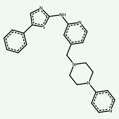 c1ccc(-c2cnc(Nc3cc(CN4CCN(c5ccncc5)CC4)ccn3)s2)cc1